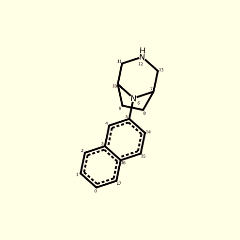 c1ccc2cc(N3C4CCC3CNC4)ccc2c1